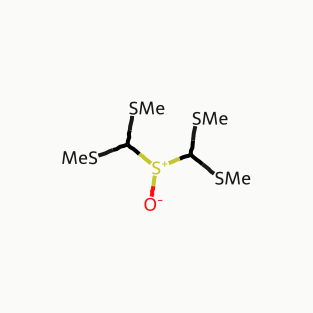 CSC(SC)[S+]([O-])C(SC)SC